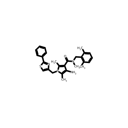 Cc1cccc(C)c1CN(C)C(=O)c1c(N)c(C)n(Cc2csc(-c3ccccc3)n2)c1C